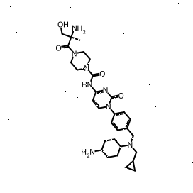 CC(N)(CO)C(=O)N1CCN(C(=O)Nc2ccn(-c3ccc(CN(CC4CC4)C4CCC(N)CC4)cc3)c(=O)n2)CC1